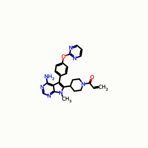 C=CC(=O)N1CCC(c2c(-c3ccc(Oc4ncccn4)cc3)c3c(N)ncnc3n2C)CC1